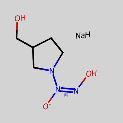 [NaH].[O-]/[N+](=N/O)N1CCC(CO)C1